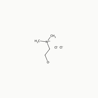 C[N+2](C)CC[O].[Cl-].[Cl-]